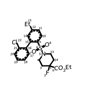 CCOC(=O)C1(F)CCN(S(=O)(=O)c2ccc(CC)cc2-c2ccccc2Cl)CC1